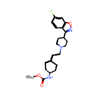 CC(C)(C)OC(=O)NC1CCC(CCN2CCC(c3noc4cc(F)ccc34)CC2)CC1